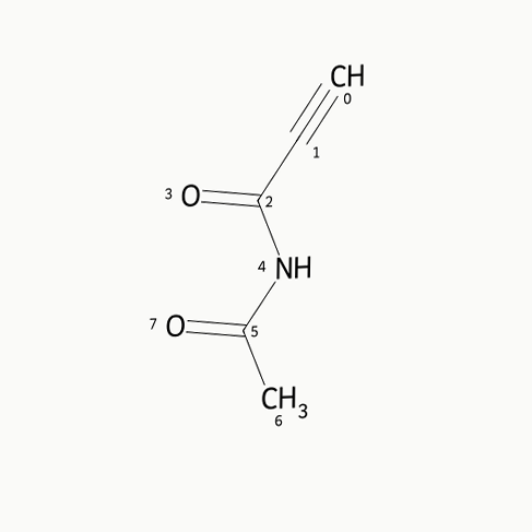 C#CC(=O)NC(C)=O